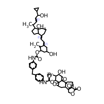 C=C1/C(=C\C=C2/CCCC3(C)C2CCC3C(C)/C=C/C(O)C2CC2)CC(O)CC1OC(=O)Nc1ccc(Cc2ccc(NC(=O)OC3C(C(C)C)C(O)C4OC45C4(C)CCC6=C(COC6=O)C4CC4OC435)cc2)cc1